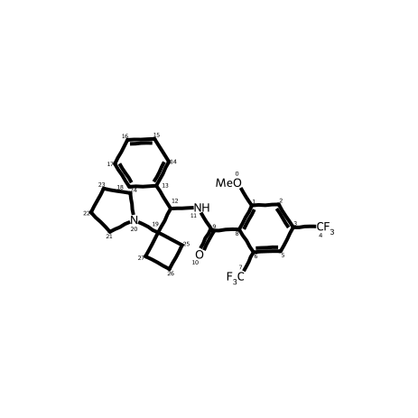 COc1cc(C(F)(F)F)cc(C(F)(F)F)c1C(=O)NC(c1ccccc1)C1(N2CCCC2)CCC1